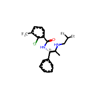 CCC(CC)CNC(C)[C@@H](NC(=O)c1cccc(C(F)(F)F)c1Cl)c1ccccc1